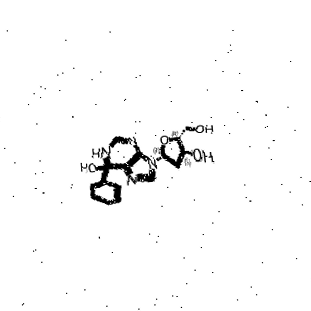 OC[C@H]1O[C@@H](n2cnc3c2N=CNC3(O)c2ccccc2)C[C@@H]1O